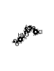 CCC(CC)(CC(=O)N[C@@H](C)c1ccc(C(=O)OC)cc1)N1CC[C@@H](Oc2cccc(Cl)c2)C1